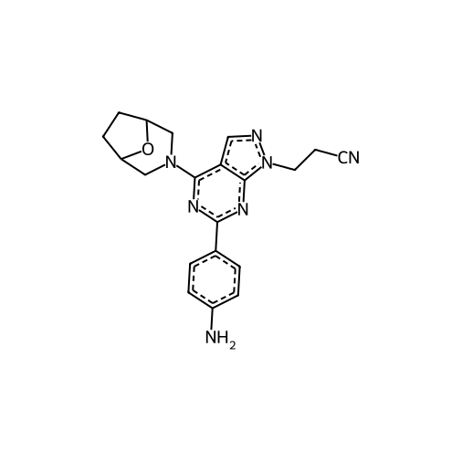 N#CCCn1ncc2c(N3CC4CCC(C3)O4)nc(-c3ccc(N)cc3)nc21